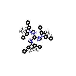 CC1(C)c2cc(-c3ccccc3)ccc2C(c2ccnc(-c3cc(-c4nccc(N5c6ccc(-c7ccccc7)cc6C(C)(C)c6cc(-c7ccccc7)ccc65)n4)cc(-c4nccc(N5c6ccc(-c7ccccc7)cc6C(C)(C)c6cc(-c7ccccc7)ccc65)n4)c3)n2)c2ccc(-c3ccccc3)cc21